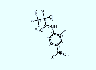 Cc1cc([N+](=O)[O-])ccc1NC(=O)C(C)(O)C(F)(F)F